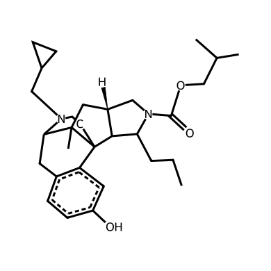 CCCC1C2[C@@H](CN1C(=O)OCC(C)C)CC1(C)C3Cc4ccc(O)cc4C21CCN3CC1CC1